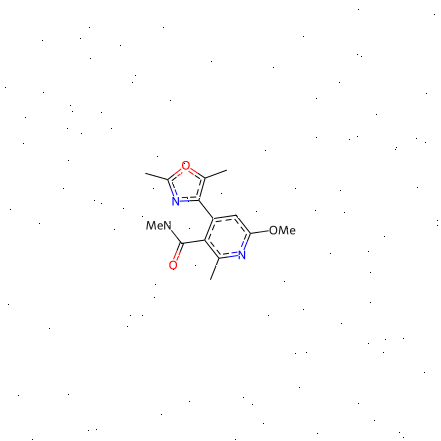 CNC(=O)c1c(-c2nc(C)oc2C)cc(OC)nc1C